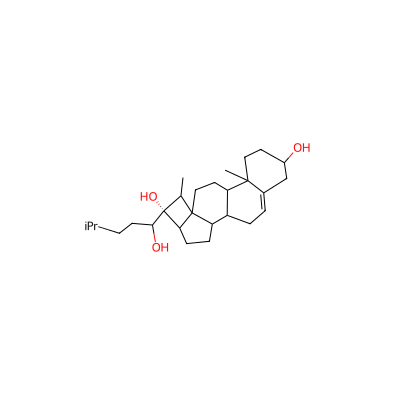 CC(C)CCC(O)[C@@]1(O)C(C)C23CCC4C(CC=C5CC(O)CCC54C)C2CCC31